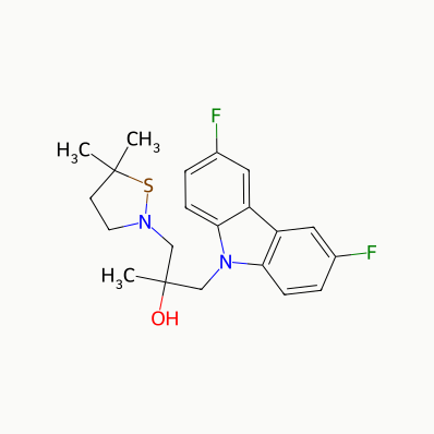 CC(O)(CN1CCC(C)(C)S1)Cn1c2ccc(F)cc2c2cc(F)ccc21